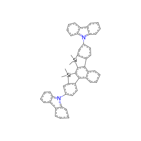 C[Si]1(C)c2cc(-n3c4ccccc4c4ccccc43)ccc2-c2c1c1c(c3ccccc23)-c2ccc(-n3c4ccccc4c4ccccc43)cc2[Si]1(C)C